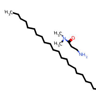 CCCCCCCCCCCCCCCCCCCCCC(=O)O.CN(C)C(=O)CCN